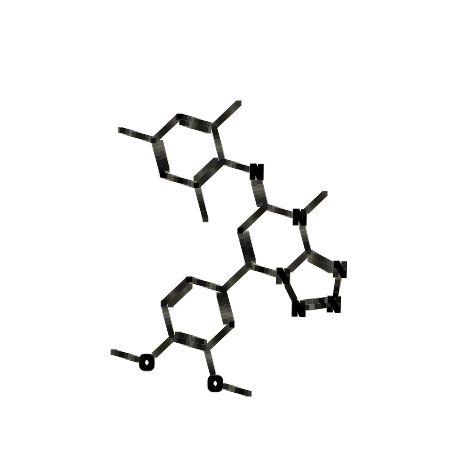 COc1ccc(-c2cc(=Nc3c(C)cc(C)cc3C)n(C)c3nnnn23)cc1OC